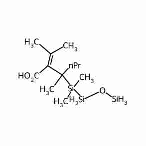 CCCC(C)(C(C(=O)O)=C(C)C)[Si](C)(C)[SiH2]O[SiH3]